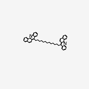 c1ccc2c(c1)ccc1c(CCCCCCCCCCCCCc3c4ccccc4nc4c3ccc3ccccc34)c3ccccc3nc12